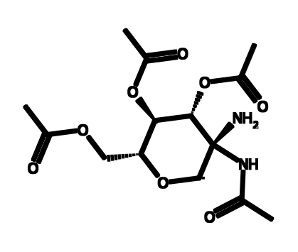 CC(=O)N[C@]1(N)[CH]O[C@H](COC(C)=O)[C@@H](OC(C)=O)[C@@H]1OC(C)=O